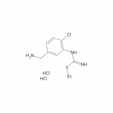 CCSC(=N)Nc1cc(CN)ccc1Cl.Cl.Cl